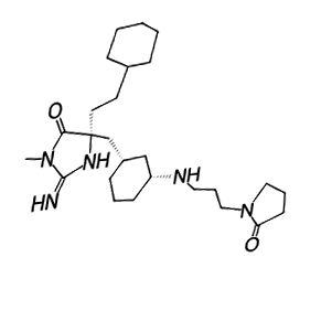 CN1C(=N)N[C@](CCC2CCCCC2)(C[C@H]2CCC[C@@H](NCCCN3CCCC3=O)C2)C1=O